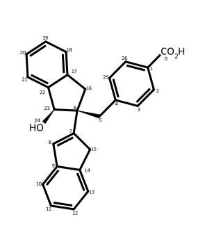 O=C(O)c1ccc(C[C@]2(C3=Cc4ccccc4C3)Cc3ccccc3[C@@H]2O)cc1